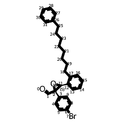 O=[C][C@]1(c2ccc(Br)cc2)O[C@H]1c1ccccc1CCCCCCCCc1ccccc1